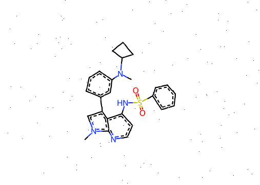 CN(c1cccc(-c2cn(C)c3nccc(NS(=O)(=O)c4ccccc4)c23)c1)C1CCC1